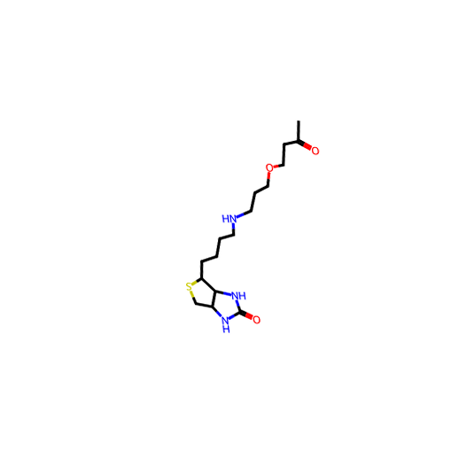 CC(=O)CCOCCCNCCCCC1SCC2NC(=O)NC21